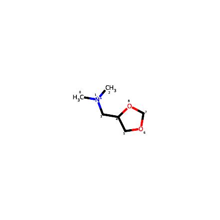 C[N+](C)CC1COCO1